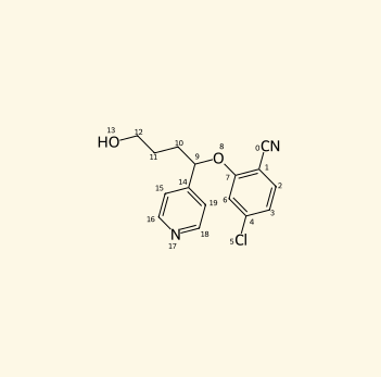 N#Cc1ccc(Cl)cc1OC(CCCO)c1ccncc1